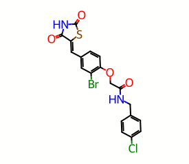 O=C(COc1ccc(/C=C2\SC(=O)NC2=O)cc1Br)NCc1ccc(Cl)cc1